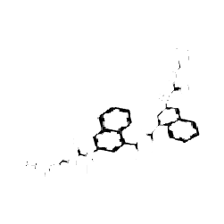 CCOC(=O)Nc1cc(C(=O)OC(=O)c2cc(NC(=O)OCC)cc3ccccc23)c2ccccc2c1